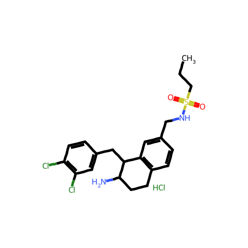 CCCS(=O)(=O)NCc1ccc2c(c1)C(Cc1ccc(Cl)c(Cl)c1)C(N)CC2.Cl